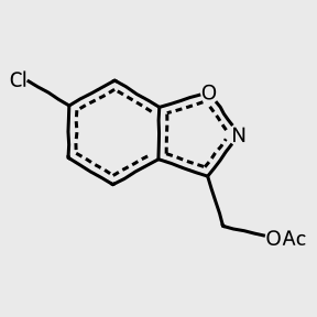 CC(=O)OCc1noc2cc(Cl)ccc12